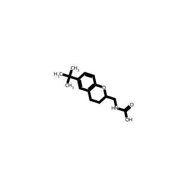 CC(C)(C)c1ccc2c(c1)CCC(CNC(=O)O)O2